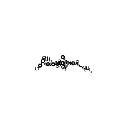 CNCCCCCC(=O)N1CCN(CC[C@H](CSc2ccccc2)Nc2ccc(S(=O)(=O)NC(=O)c3ccc(N4CCN(CC5=C(c6ccc(Cl)cc6)CCC(C)(C)C5)CC4)cc3)cc2S(=O)(=O)C(F)(F)F)CC1